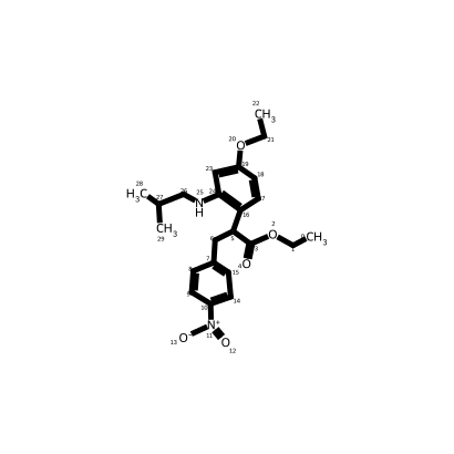 CCOC(=O)C(Cc1ccc([N+](=O)[O-])cc1)c1ccc(OCC)cc1NCC(C)C